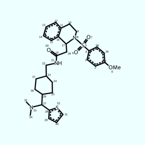 COc1ccc(S(=O)(=O)N2CCc3ccccc3C2CC(=O)NCC2CCC(C(c3cccs3)N(C)C)CC2)cc1